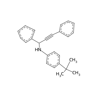 CC(C)(C)c1ccc(NC(C#Cc2ccccc2)c2ccccc2)cc1